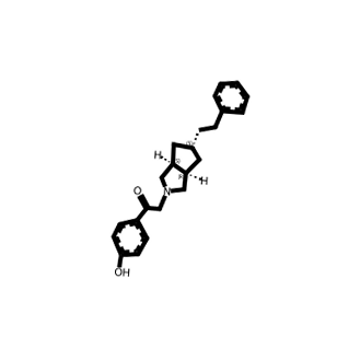 O=C(CN1C[C@H]2C[C@H](CCc3ccccc3)C[C@H]2C1)c1ccc(O)cc1